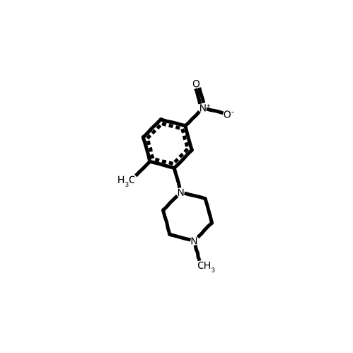 Cc1ccc([N+](=O)[O-])cc1N1CCN(C)CC1